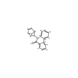 O=C(OC1CC2C=CC1C2)c1ccccc1-c1ccccc1